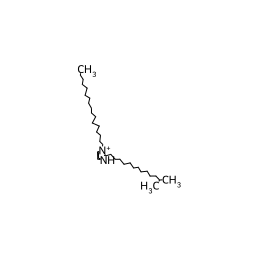 CCCCCCCCCCCCCCCCC[n+]1cc[nH]c1CCCCCCCCCCCC(C)C